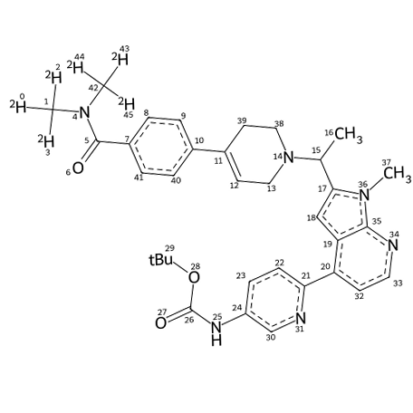 [2H]C([2H])([2H])N(C(=O)c1ccc(C2=CCN(C(C)c3cc4c(-c5ccc(NC(=O)OC(C)(C)C)cn5)ccnc4n3C)CC2)cc1)C([2H])([2H])[2H]